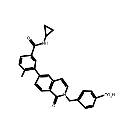 Cc1ccc(C(=O)NC2CC2)cc1-c1ccc2c(=O)n(Cc3ccc(C(=O)O)cc3)ccc2c1